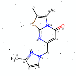 CC(=O)c1c(C)sc2nc(Cn3ccc(C(F)(F)F)n3)cc(=O)n12